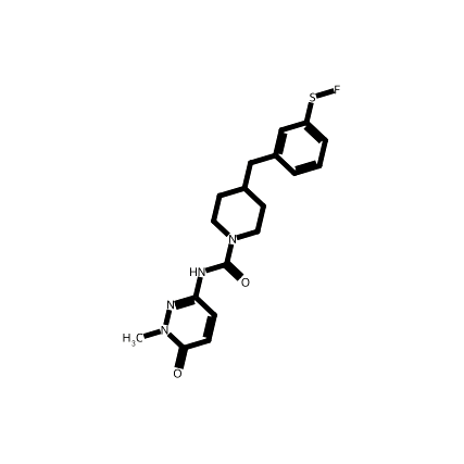 Cn1nc(NC(=O)N2CCC(Cc3cccc(SF)c3)CC2)ccc1=O